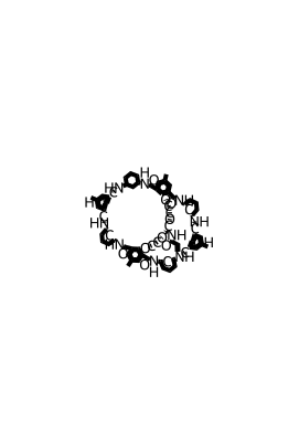 C=CC(=O)NC1COCCOc2c3cc(C)cc2C(=O)NC2CCCC(C2)NCc2cc(C)cc(c2O)CNC2CCCC(C2)NC(=O)c2cc(C)cc(c2OCCO1)C(=O)NC1CCCC(C1)NCc1cc(C)cc(c1O)CNC1CCCC(C1)NC3=O